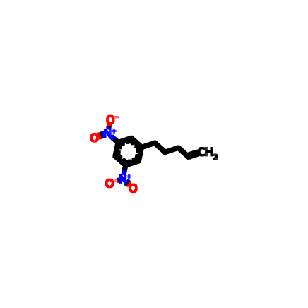 C=CCCCc1cc([N+](=O)[O-])cc([N+](=O)[O-])c1